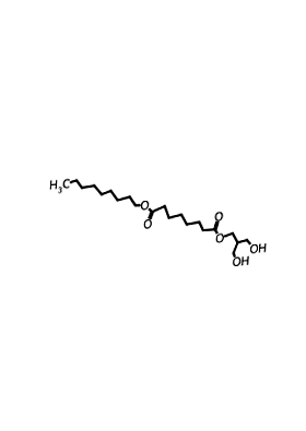 CCCCCCCCCOC(=O)CCCCCCC(=O)OCC(CO)CO